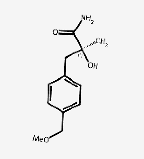 COCc1ccc(C[C@](C)(O)C(N)=O)cc1